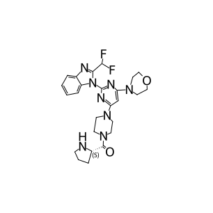 O=C([C@@H]1CCCN1)N1CCN(c2cc(N3CCOCC3)nc(-n3c(C(F)F)nc4ccccc43)n2)CC1